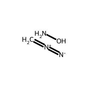 C=[N+]=[N-].NO